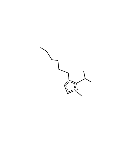 CCCCCCn1cc[n+](C)c1C(C)C